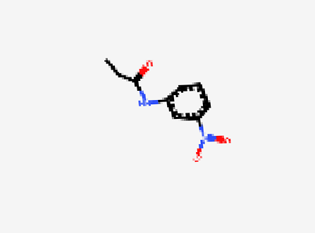 CCC(=O)Nc1[c]ccc([N+](=O)[O-])c1